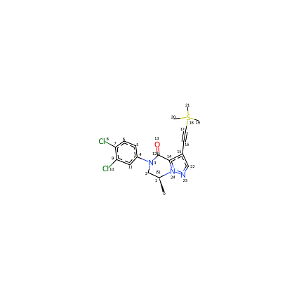 C[C@H]1CN(c2ccc(Cl)c(Cl)c2)C(=O)c2c(C#CS(C)(C)C)cnn21